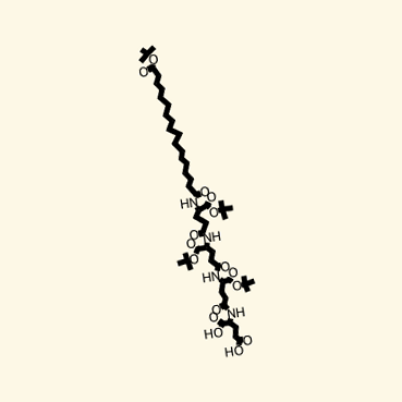 CC(C)(C)OC(=O)CCCCCCCCCCCCCCCCC(=O)NC(CCC(=O)NC(CCC(=O)NC(CCC(=O)NC(CCC(=O)O)C(=O)O)C(=O)OC(C)(C)C)C(=O)OC(C)(C)C)C(=O)OC(C)(C)C